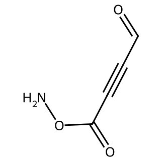 NOC(=O)C#CC=O